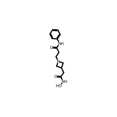 O=C(CC1CN(CCC(=O)Nc2ccccc2)C1)NO